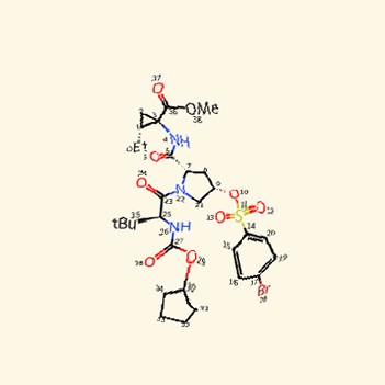 CC[C@@H]1C[C@]1(NC(=O)[C@@H]1C[C@H](OS(=O)(=O)c2ccc(Br)cc2)CN1C(=O)[C@@H](NC(=O)OC1CCCC1)C(C)(C)C)C(=O)OC